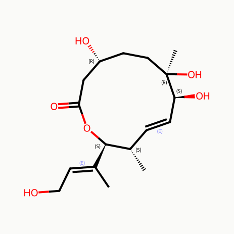 C/C(=C\CO)[C@H]1OC(=O)C[C@H](O)CC[C@@](C)(O)[C@@H](O)/C=C/[C@@H]1C